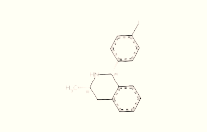 C[C@H]1Cc2ccccc2[C@@H](c2ccc(I)cc2)N1